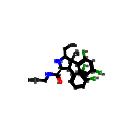 CC(C)(C)CC1N[C@@H](C(=O)NCC(=O)O)C(c2cccc(Cl)c2F)[C@@]1(C#N)c1ccc(Cl)cc1F